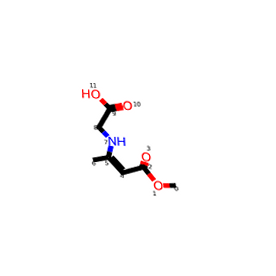 COC(=O)C=C(C)NCC(=O)O